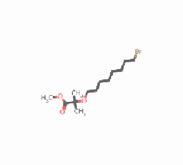 COC(=O)C(C)(C)OCCCCCCCCBr